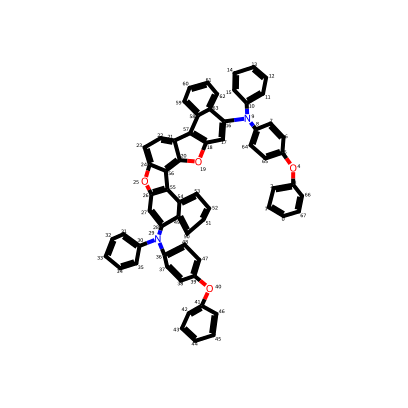 c1ccc(Oc2ccc(N(c3ccccc3)c3cc4oc5c(ccc6oc7cc(N(c8ccccc8)c8ccc(Oc9ccccc9)cc8)c8ccccc8c7c65)c4c4ccccc34)cc2)cc1